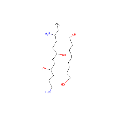 CCC(N)CCC(O)CCC(O)CCCN.OCCCCCCCCO